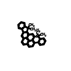 CC1(C)c2ccccc2-c2cc3ccc4ccc5c6c(cc(c21)c3c46)[Si](C)(C)c1ccccc1-5